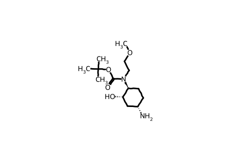 COCCN(C(=O)OC(C)(C)C)[C@H]1CC[C@H](N)C[C@@H]1O